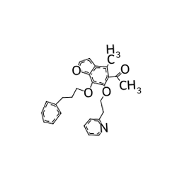 CC(=O)c1c(OCCc2ccccn2)c(OCCCc2ccccc2)c2occc2c1C